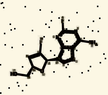 Nc1nc(F)nc2c1ncn2[C@H]1O[C@@H](CO)C=C1F